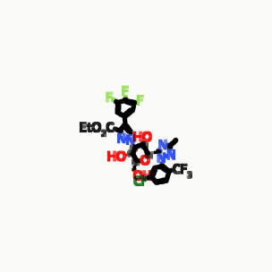 CCOC(=O)c1nn([C@H]2[C@@H](O)[C@@H](CO)O[C@@H](c3nc(C)nn3-c3cc(Cl)ccc3C(F)(F)F)[C@@H]2O)cc1-c1cc(F)c(F)c(F)c1